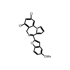 COc1ccc2oc(C3=NCc4c(Cl)cc(Cl)cc4-n4cccc43)cc2c1